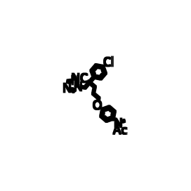 CC(=O)N(C)c1ccc(OCCCC(C#N)(Cn2cncn2)c2ccc(Cl)cc2)cc1